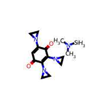 CN(C)[SiH3].O=C1C=C(N2CC2)C(=O)C(N2CC2)=C1N1CC1